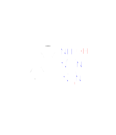 Oc1nc2nonc2nc1Nc1cccc(-c2ccc(F)cc2)c1